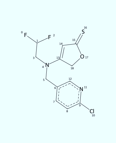 FC(F)CN(Cc1ccc(Cl)nc1)C1=CC(=S)OC1